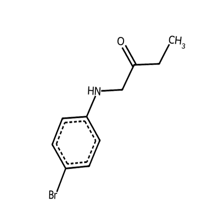 CCC(=O)CNc1ccc(Br)cc1